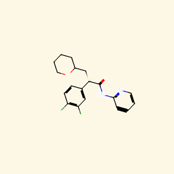 O=C(Nc1c#cccn1)[C@H](CC1CCCCO1)c1ccc(Cl)c(Cl)c1